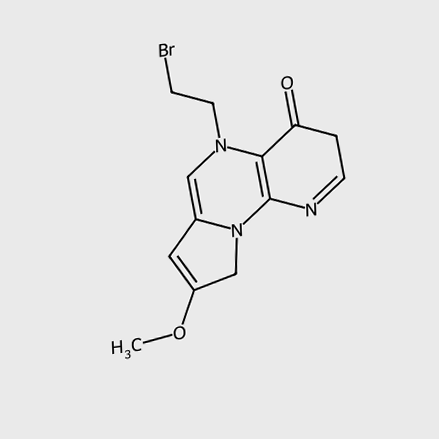 COC1=CC2=CN(CCBr)C3=C(N=CCC3=O)N2C1